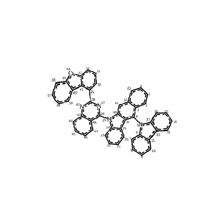 c1ccc2c(-n3c4ccccc4c4ccccc43)c3c4ccccc4n(-c4nc(-c5cccc6oc7ccccc7c56)nc5ccccc45)c3cc2c1